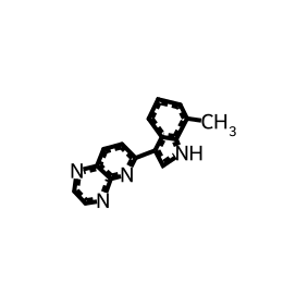 Cc1cccc2c(-c3ccc4nccnc4n3)c[nH]c12